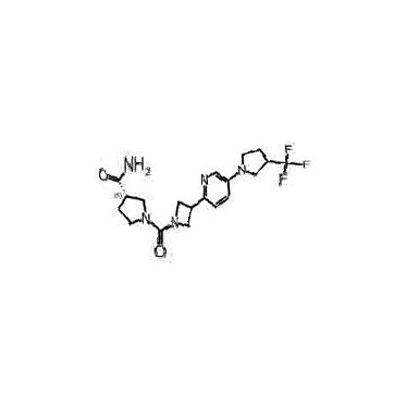 NC(=O)[C@H]1CCN(C(=O)N2CC(c3ccc(N4CCC(C(F)(F)F)C4)cn3)C2)C1